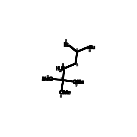 CCCCC(CC)C[SiH2]C(OC)(OC)OC